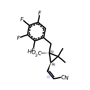 CC1(C)[C@@H](/C=C\C#N)[C@]1(Cc1cc(F)c(F)c(F)c1F)C(=O)O